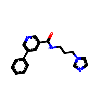 O=C(NCCCn1ccnc1)c1cncc(-c2ccccc2)c1